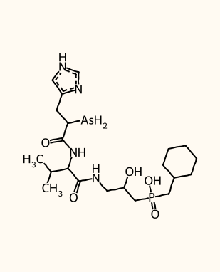 CC(C)C(NC(=O)C([AsH2])Cc1c[nH]cn1)C(=O)NCC(O)CP(=O)(O)CC1CCCCC1